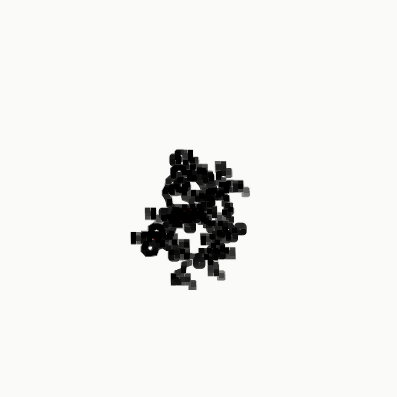 COc1cc2cc(c1Cl)N(C)C(=O)C[C@H](OC(=O)[C@H](C)N(C)C(=O)CCSSC[C@H](NC(=O)[C@@H]1CSSC[C@H](NC(=O)[C@H](N)Cc3ccccc3)C(=O)N[C@@H](Cc3ccc(O)cc3)C(=O)N[C@H](Cc3c[nH]c4ccccc34)C(=O)N[C@@H](CCCCN)C(=O)N[C@@H]([C@@H](C)O)C(=O)N1)C(=O)O)[C@]1(C)O[C@H]1[C@H](C)[C@@H]1C[C@@](O)(NC(=O)O1)[C@H](OC)/C=C/C=C(\C)C2